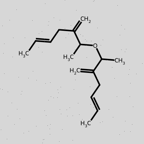 C=C(CC=CC)C(C)OC(C)C(=C)CC=CC